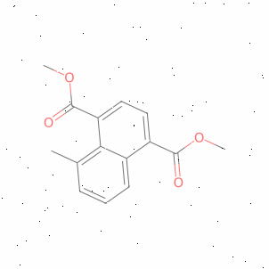 COC(=O)c1ccc(C(=O)OC)c2c(C)cccc12